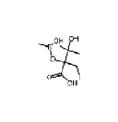 CB(O)OC(CI)(C(=O)O)C(C)(C)O